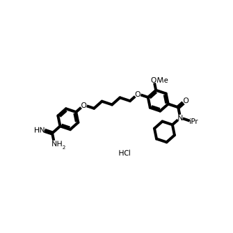 COc1cc(C(=O)N(C(C)C)C2CCCCC2)ccc1OCCCCCOc1ccc(C(=N)N)cc1.Cl